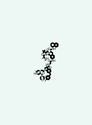 CN[C@@H](C)C(=O)N[C@H](C(=O)N1Cc2cc(NC(=O)CNC(=O)[C@@]3(C)CN(C(=O)CN4C[C@@H](C)NC[C@@H]4CN4CCOC[C@H]4C)c4cc(Cc5ccc(F)cc5)ccc43)ccc2C[C@H]1C(=O)N[C@@H]1CCCc2ccccc21)C(C)(C)C